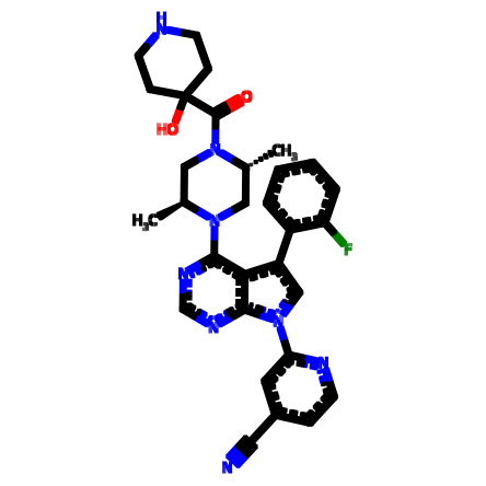 C[C@@H]1CN(c2ncnc3c2c(-c2ccccc2F)cn3-c2cc(C#N)ccn2)[C@@H](C)CN1C(=O)C1(O)CCNCC1